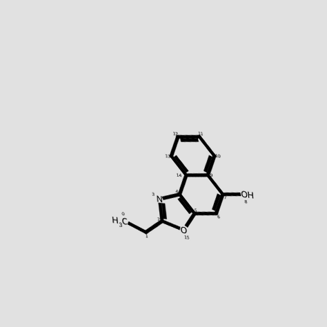 CCc1nc2c(cc(O)c3ccccc32)o1